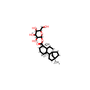 C[C@@]12CCC3[C@@](CCC4[C@@]3(C)CCC[C@@]4(C)C(=O)OC3OC(CO)C(O)C(O)C3O)(CC1)C2